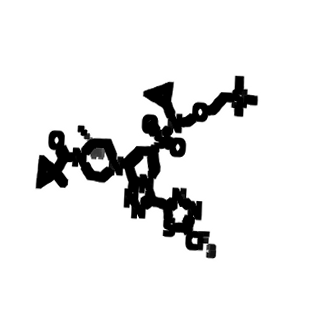 C[C@@H]1CN(c2cc(S(=O)(=O)N(COCC[Si](C)(C)C)C3CC3)cn3c(-c4nnc(C(F)(F)F)s4)nnc23)CCN1C(=O)C1(C)CC1